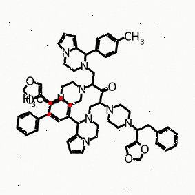 Cc1ccc(C2c3cccn3CCN2CC(C(=O)C(CN2CCn3cccc3C2c2ccc(C)cc2)N2CCN(C(Cc3ccccc3)C3=COCO3)CC2)N2CCN(C(Cc3ccccc3)C3=COCO3)CC2)cc1